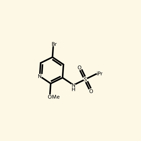 COc1ncc(Br)cc1NS(=O)(=O)C(C)C